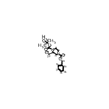 CC(C)(C)OC(=O)N1CCN(C(=O)OCc2ccccc2)C[C@H]1C=O